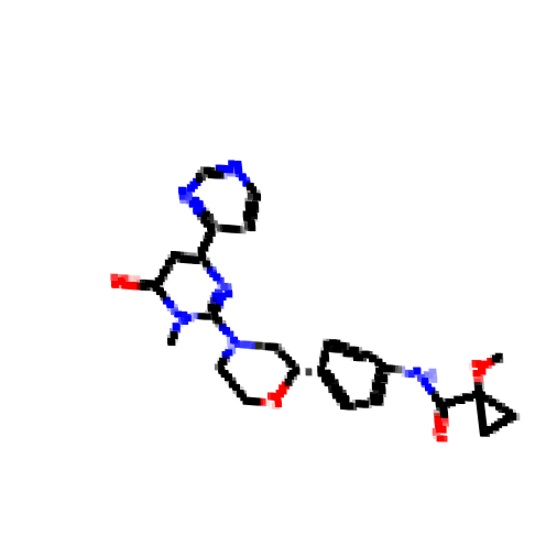 COC1(C(=O)Nc2ccc([C@H]3CN(c4nc(-c5ccncn5)cc(=O)n4C)CCO3)cc2)CC1